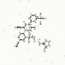 CC1=C(C#N)[C@@H](c2ccc(C#N)cc2S(=O)(=O)NCCCN2CCCC2=O)NC(=O)N1c1cccc(C(F)(F)F)c1